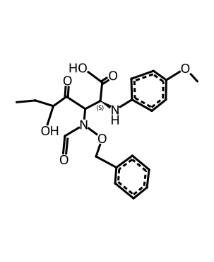 CCC(O)C(=O)C([C@H](Nc1ccc(OC)cc1)C(=O)O)N(C=O)OCc1ccccc1